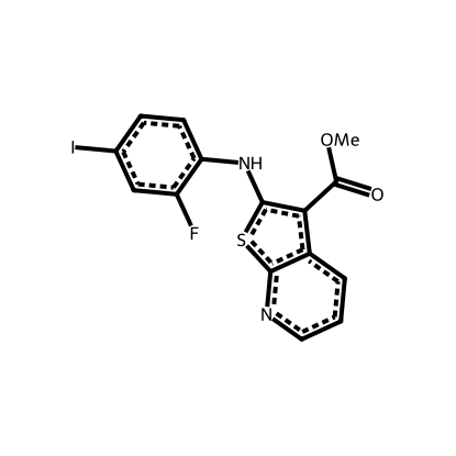 COC(=O)c1c(Nc2ccc(I)cc2F)sc2ncccc12